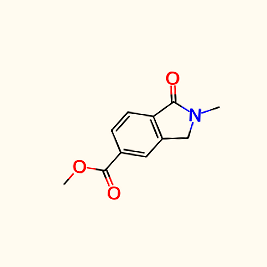 COC(=O)c1ccc2c(c1)CN(C)C2=O